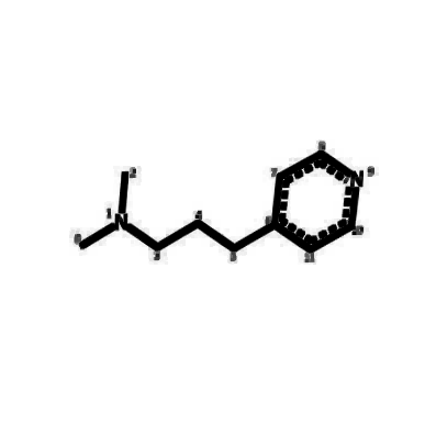 CN(C)CCCc1ccncc1